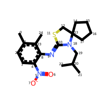 Cc1ccc([N+](=O)[O-])c(N=C2SCC3(CCCC3)N2CC(C)C)c1C